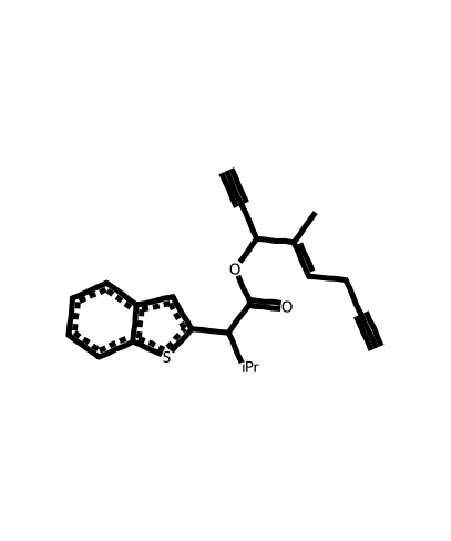 C#CCC=C(C)C(C#C)OC(=O)C(c1cc2ccccc2s1)C(C)C